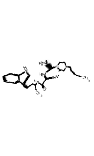 CCCN1CCN(C(=N)NC(=N)C(=O)NC(C)Cc2c[nH]c3ccccc23)CC1